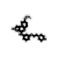 COc1ccc2nc(Nc3cccc(OCCN4CCNCC4)c3)c3n[nH]cc3c2c1